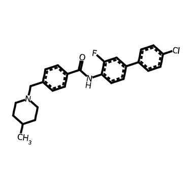 CC1CCN(Cc2ccc(C(=O)Nc3ccc(-c4ccc(Cl)cc4)cc3F)cc2)CC1